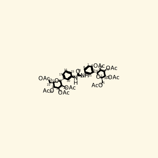 CC(=O)OC[C@H]1O[C@H](c2cccc(NC(=O)Nc3cccc([C@H]4O[C@H](COC(C)=O)[C@@H](OC(C)=O)[C@H](OC(C)=O)[C@@H]4OC(C)=O)c3)c2)[C@@H](OC(C)=O)[C@@H](OC(C)=O)[C@@H]1OC(C)=O